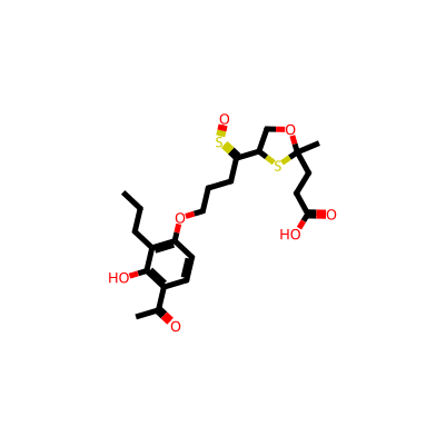 CCCc1c(OCCCC(=S=O)C2COC(C)(CCC(=O)O)S2)ccc(C(C)=O)c1O